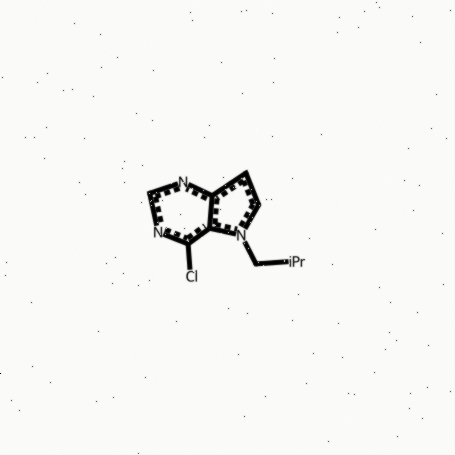 CC(C)Cn1ccc2ncnc(Cl)c21